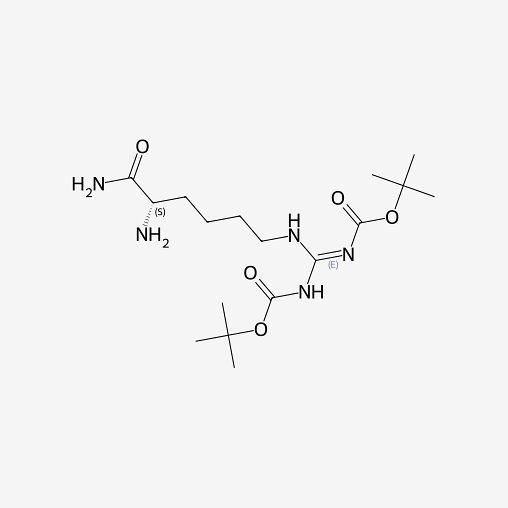 CC(C)(C)OC(=O)/N=C(\NCCCC[C@H](N)C(N)=O)NC(=O)OC(C)(C)C